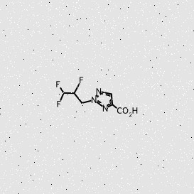 O=C(O)c1cnn(CC(F)C(F)F)n1